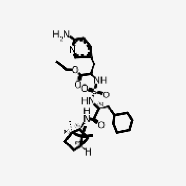 CCOC(=O)C(Cc1ccc(N)nc1)NS(=O)(=O)N[C@@H](CC1CCCCC1)C(=O)N[C@H]1C[C@H]2CC[C@]1(C)C2(C)C